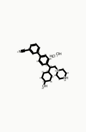 Cl.Cl.N#Cc1cccc(-c2ccc(C(CN3CCNCC3)C3CCC(O)CC3)cc2)c1